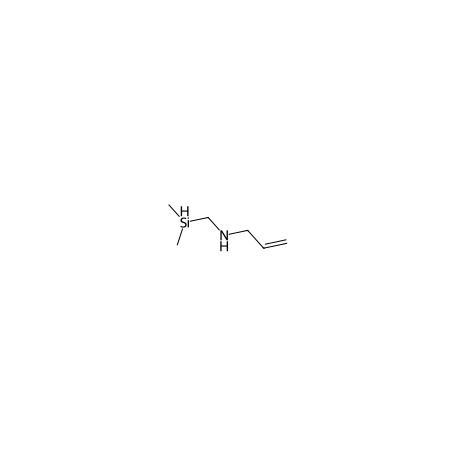 C=CCNC[SiH](C)C